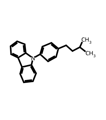 CC(C)CCc1ccc(-n2c3ccccc3c3ccccc32)cc1